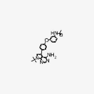 CC(=O)Nc1cccc(Oc2ccc(-c3cn(C(C)(C)C)c4ncnc(N)c34)cc2)c1